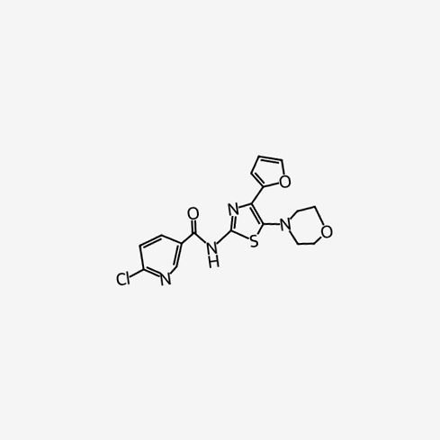 O=C(Nc1nc(-c2ccco2)c(N2CCOCC2)s1)c1ccc(Cl)nc1